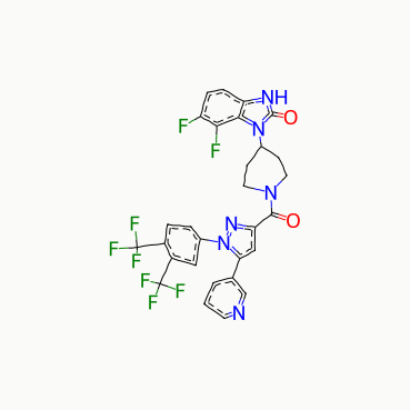 O=C(c1cc(-c2cccnc2)n(-c2ccc(C(F)(F)F)c(C(F)(F)F)c2)n1)N1CCC(n2c(=O)[nH]c3ccc(F)c(F)c32)CC1